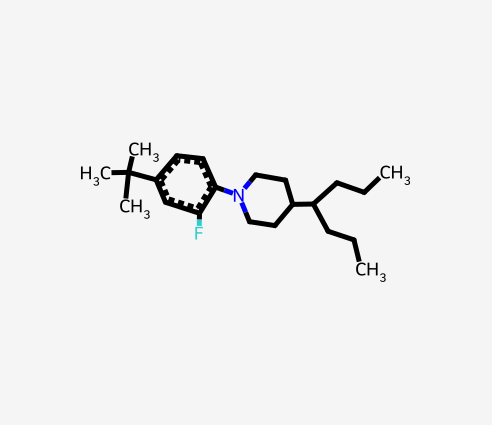 CCCC(CCC)C1CCN(c2ccc(C(C)(C)C)cc2F)CC1